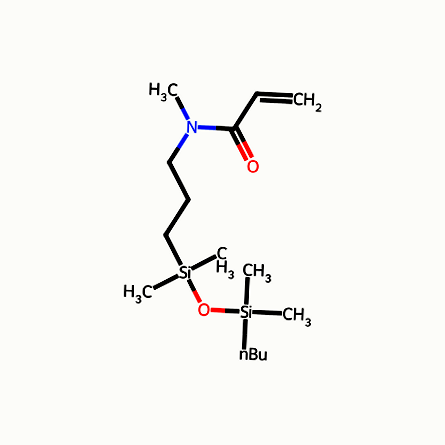 C=CC(=O)N(C)CCC[Si](C)(C)O[Si](C)(C)CCCC